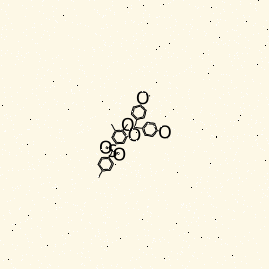 COc1ccc(C2(c3ccc(OC)cc3)Oc3cc(S(=O)(=O)c4ccc(C)cc4)cc(C)c3O2)cc1